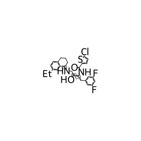 CCc1ccc2c(c1)[C@@H](NC[C@@H](O)[C@H](Cc1cc(F)cc(F)c1)NC(=O)c1ccc(Cl)s1)CCC2